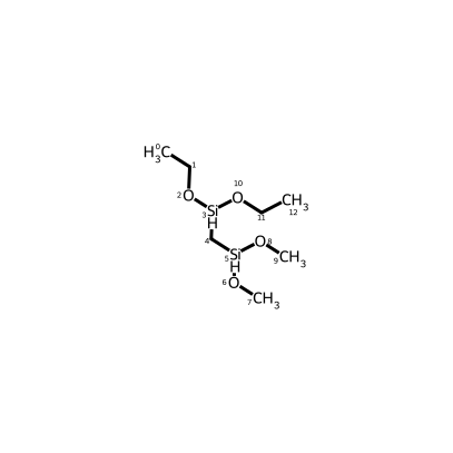 CCO[SiH](C[SiH](OC)OC)OCC